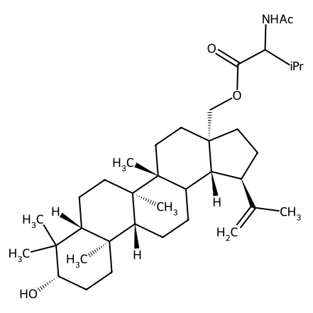 C=C(C)[C@@H]1CC[C@]2(COC(=O)C(NC(C)=O)C(C)C)CC[C@]3(C)C(CC[C@@H]4[C@@]5(C)CC[C@H](O)C(C)(C)[C@@H]5CC[C@]43C)[C@@H]12